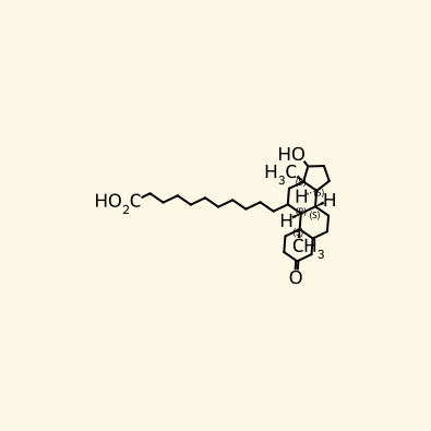 C[C@]12CCC(=O)CC1CC[C@@H]1[C@H]2C(CCCCCCCCCCC(=O)O)C[C@]2(C)C(O)CC[C@@H]12